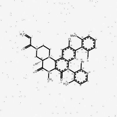 C=CC(=O)N1CCN2c3c(c(=O)n(-c4c(C)ccnc4C(C)C)c4nc(-c5c(F)cccc5OC)c(Cl)cc34)N(C)C(=O)[C@H]2C1